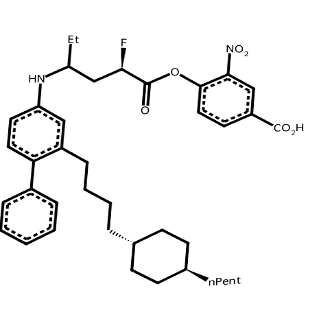 CCCCC[C@H]1CC[C@H](CCCCc2cc(NC(CC)C[C@@H](F)C(=O)Oc3ccc(C(=O)O)cc3[N+](=O)[O-])ccc2-c2ccccc2)CC1